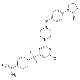 C=C(N)C1CCC(C(F)(F)c2cc(Cl)nc(N3CCN(Sc4ccc(N5CCCC5=O)cc4)CC3)c2)CC1